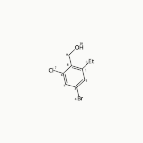 CCc1cc(Br)cc(Cl)c1CO